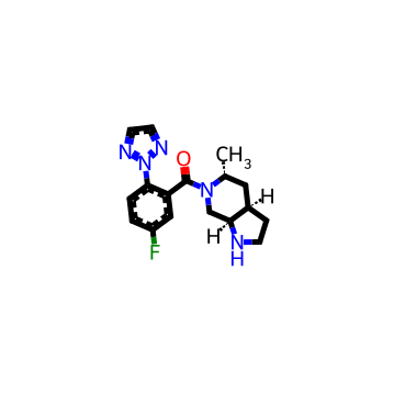 C[C@@H]1C[C@H]2CCN[C@H]2CN1C(=O)c1cc(F)ccc1-n1nccn1